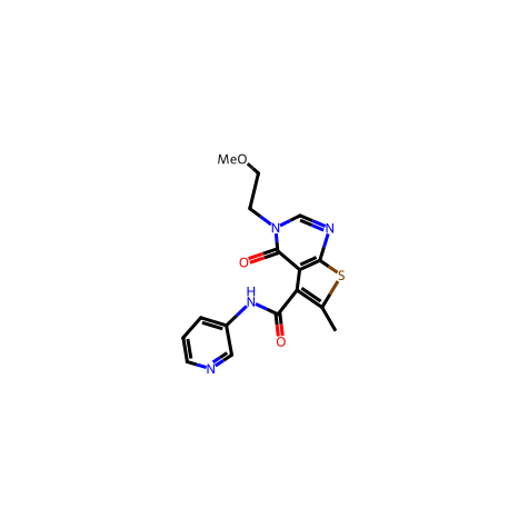 COCCn1cnc2sc(C)c(C(=O)Nc3cccnc3)c2c1=O